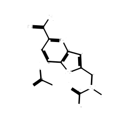 CC(=O)O.CN(Cc1cc2nc(C(=N)N)ccc2[nH]1)C(=O)O